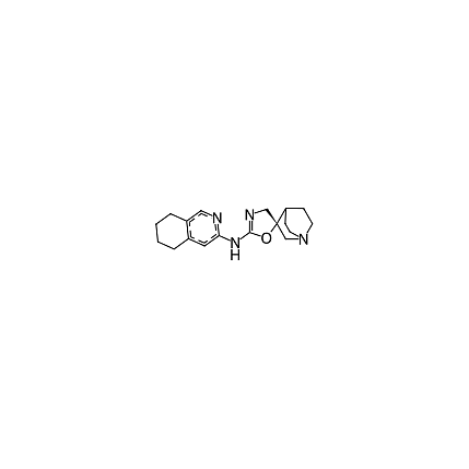 c1nc(NC2=NC[C@@]3(CN4CCC3CC4)O2)cc2c1CCCC2